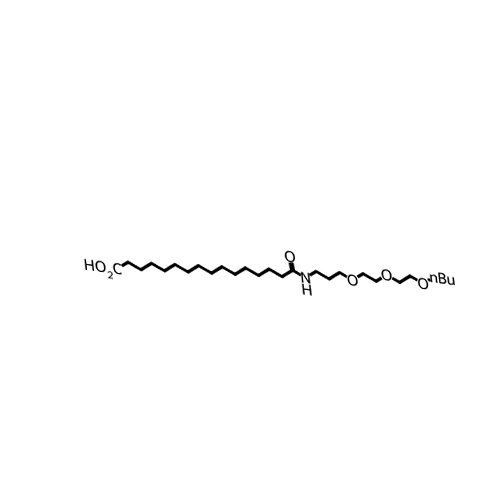 CCCCOCCOCCOCCCNC(=O)CCCCCCCCCCCCCCC(=O)O